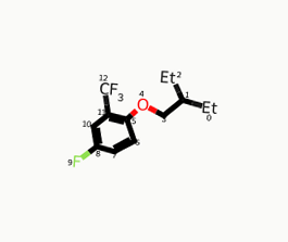 CCC(CC)COc1ccc(F)cc1C(F)(F)F